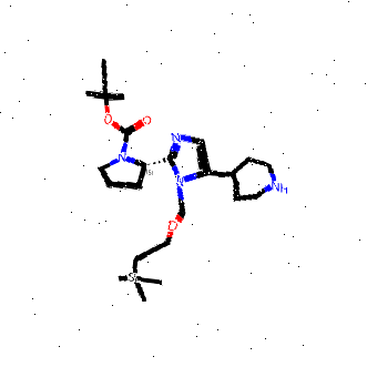 CC(C)(C)OC(=O)N1CCC[C@H]1c1ncc(C2CCNCC2)n1COCC[Si](C)(C)C